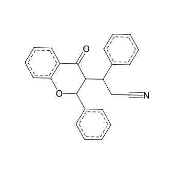 N#CCC(c1ccccc1)C1C(=O)c2ccccc2OC1c1ccccc1